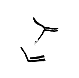 C=C(C)F.C=CC